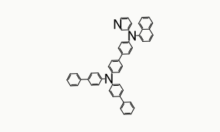 c1ccc(-c2ccc(N(c3ccc(-c4ccccc4)cc3)c3ccc(-c4ccc(N(c5cccnc5)c5cccc6ccccc56)cc4)cc3)cc2)cc1